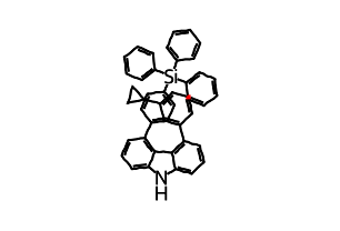 c1ccc([Si](c2ccccc2)(c2ccccc2)c2ccc(-c3cccc4[nH]c5cccc(-c6cccc(C7CC7)c6)c5c34)cc2)cc1